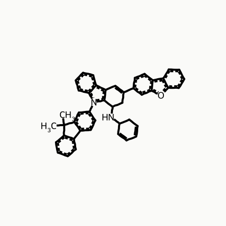 CC1(C)c2ccccc2-c2ccc(-n3c4c(c5ccccc53)C=C(c3ccc5c(c3)oc3ccccc35)CC4NC3C=CC=CC3)cc21